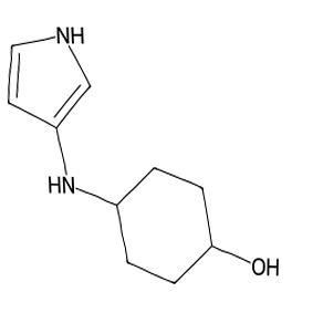 OC1CCC(Nc2cc[nH]c2)CC1